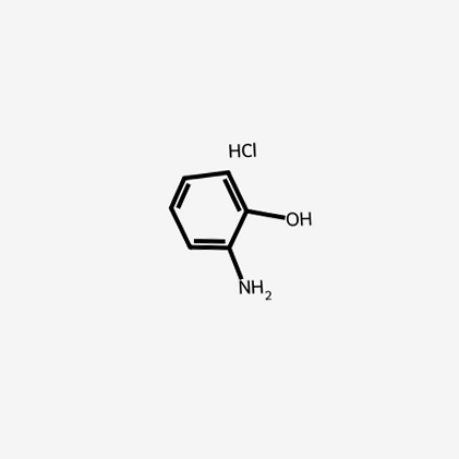 Cl.Nc1ccccc1O